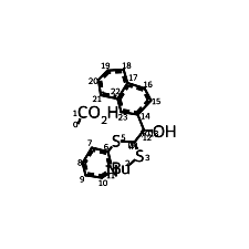 CC(=O)O.CC(C)(C)S[C@@H](Sc1ccccn1)[C@H](O)c1ccc2ccccc2c1